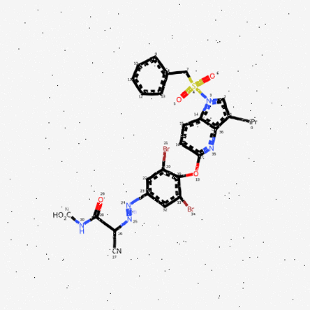 CC(C)c1cn(S(=O)(=O)Cc2ccccc2)c2ccc(Oc3c(Br)cc(/N=N/C(C#N)C(=O)NC(=O)O)cc3Br)nc12